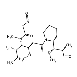 CC[C@H](C)[C@@H]([C@@H](CC(=O)N1CCCC[C@H]1[C@H](OC)[C@@H](C)C=O)OC)N(C)C(=O)CN=O